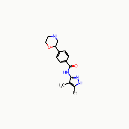 CCc1[nH]nc(NC(=O)c2ccc(C3CNCCO3)cc2)c1C